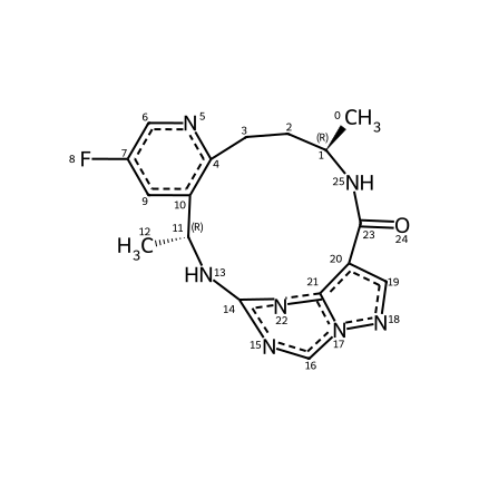 C[C@@H]1CCc2ncc(F)cc2[C@@H](C)Nc2ncn3ncc(c3n2)C(=O)N1